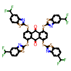 O=C1c2c(Sc3nc4cc(C(F)F)ccc4s3)ccc(Sc3nc4cc(C(F)F)ccc4s3)c2C(=O)c2c(Sc3nc4cc(C(F)F)ccc4s3)ccc(Sc3nc4cc(C(F)F)ccc4s3)c21